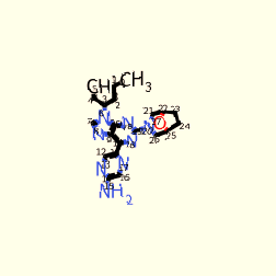 CCCC(CC)n1cnc2c(-c3cnc(N)cn3)nc(N3CC4CCC(C3)O4)nc21